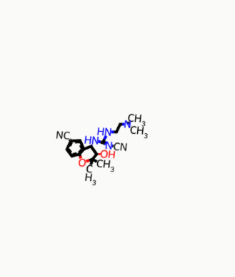 CN(C)CCNC(=NC#N)N[C@H]1c2cc(C#N)ccc2OC(C)(C)[C@@H]1O